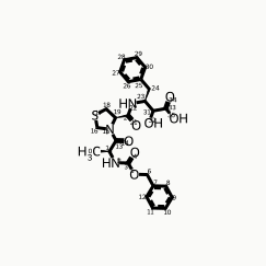 C[C@H](NC(=O)OCc1ccccc1)C(=O)N1CSC[C@H]1C(=O)N[C@@H](Cc1ccccc1)C(O)C(=O)O